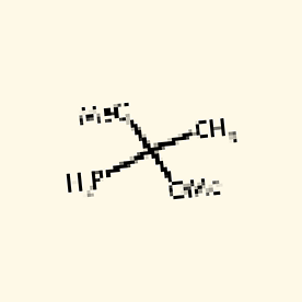 COC(C)(P)OC